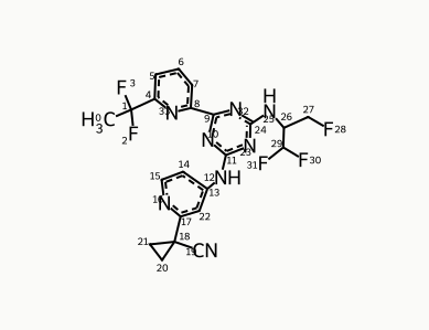 CC(F)(F)c1cccc(-c2nc(Nc3ccnc(C4(C#N)CC4)c3)nc(NC(CF)C(F)F)n2)n1